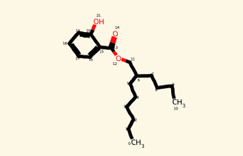 CCCCCCC(CCCC)COC(=O)c1ccccc1O